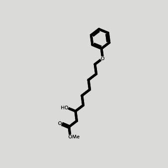 COC(=O)CC(O)CCCCCCOc1ccccc1